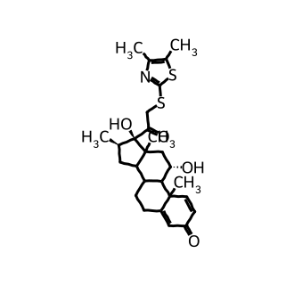 Cc1nc(SCC(=O)[C@@]2(O)[C@H](C)CC3C4CCC5=CC(=O)C=CC5(C)C4[C@@H](O)CC32C)sc1C